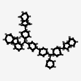 c1ccc(N(c2ccc(-c3ccc(N(c4ccc(-c5nc6cccnc6o5)cc4)c4cccc5c4sc4ccccc45)cc3)cc2)c2ccc(-c3nc4cccnc4o3)cc2)cc1